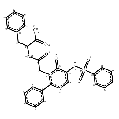 O=C(Cn1c(-c2ccccc2)ncc(NS(=O)(=O)c2ccccc2)c1=O)NC(Cc1ccccc1)C(=O)C(F)(F)F